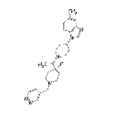 C=C(N1CCC(n2cnc3cc(C)ccc32)CC1)C1(F)CCN(Cc2ccnnc2)CC1